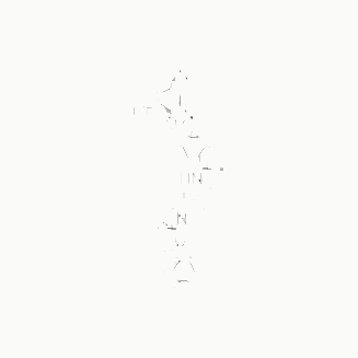 CC(C)c1cc(C#N)cc2nc(-c3ccc(C(=O)NCC4CCN(C(=O)OCc5ccccc5)CC4)cc3)oc12